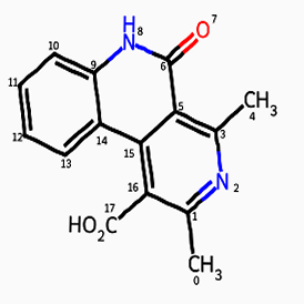 Cc1nc(C)c2c(=O)[nH]c3ccccc3c2c1C(=O)O